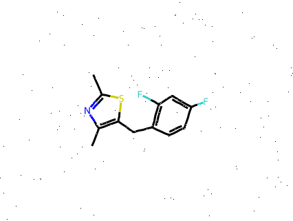 Cc1nc(C)c(Cc2ccc(F)cc2F)s1